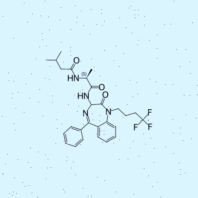 CC(C)CC(=O)N[C@@H](C)C(=O)NC1N=C(c2ccccc2)c2ccccc2N(CCCC(F)(F)F)C1=O